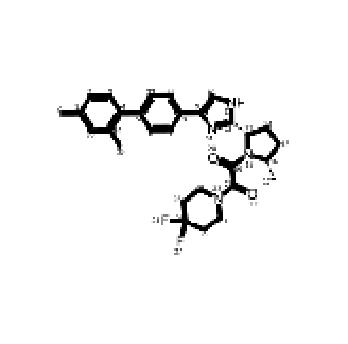 Cc1ccc(-c2ccc(-c3c[nH]c([C@@H]4CC[C@H](C)N4C(=O)C(=O)N4CCC(F)(F)CC4)n3)cc2)c(C)c1